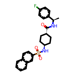 C[C@@H](NC(=O)[C@H]1CC[C@H](NS(=O)(=O)c2ccc3ccccc3c2)CC1)c1ccc(F)cc1